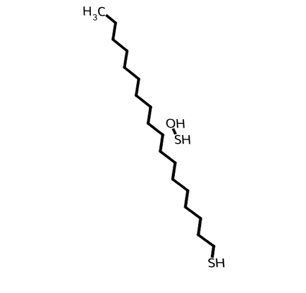 CCCCCCCCCCCCCCCCCCS.OS